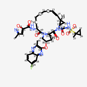 Cc1cc(C(=O)N[C@H]2CCCCCC=C[C@@H]3C[C@@]3(C(=O)NS(=O)(=O)C3(C)CC3)NC(=O)[C@@H]3C[C@@H](Oc4nc5cc(F)ccc5nc4C)CN3C2=O)on1